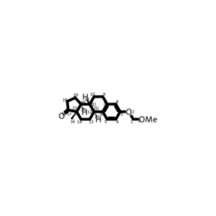 COCOc1ccc2c(c1)CC[C@@H]1[C@@H]2CC[C@]2(C)C(=O)CC[C@@H]12